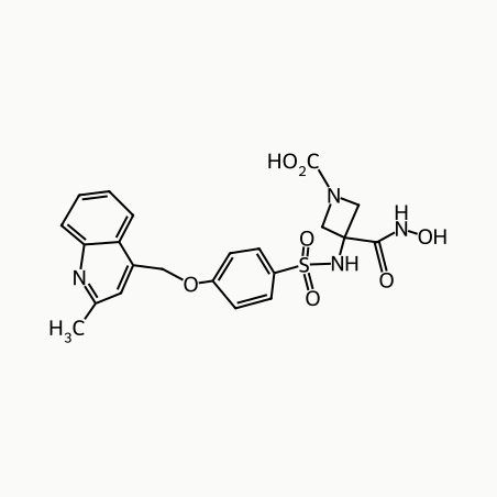 Cc1cc(COc2ccc(S(=O)(=O)NC3(C(=O)NO)CN(C(=O)O)C3)cc2)c2ccccc2n1